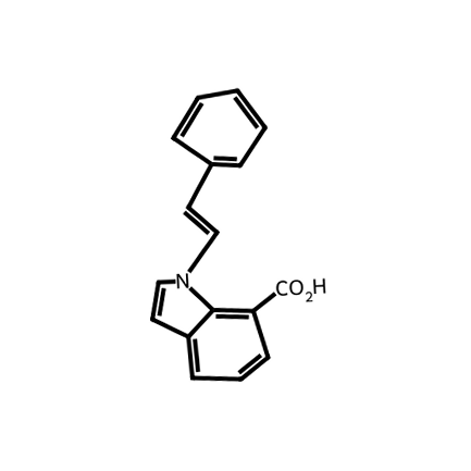 O=C(O)c1cccc2ccn(C=Cc3ccccc3)c12